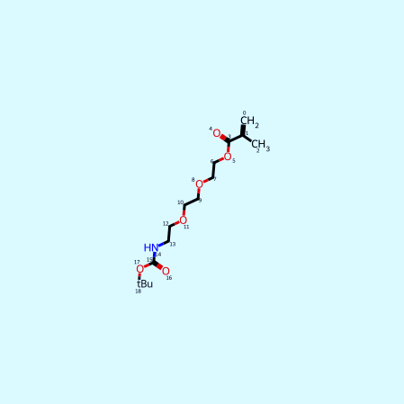 C=C(C)C(=O)OCCOCCOCCNC(=O)OC(C)(C)C